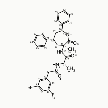 C[C@H](NC(=O)Cc1cc(F)cc(F)c1)C(=O)N[C@@]1(C)C[C@H](c2ccccc2)C[C@@H](c2ccccc2)NC1=O